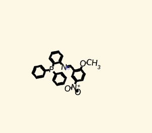 COc1ccc([N+](=O)[O-])cc1/C=N/c1ccccc1P(c1ccccc1)c1ccccc1